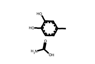 Cc1ccc(O)c(O)c1.NC(=O)O